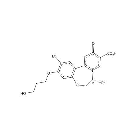 CCc1cc2c(cc1OCCCO)OC[C@@H](C(C)C)n1cc(C(=O)O)c(=O)cc1-2